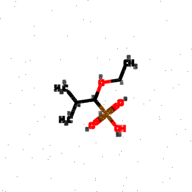 CCOC(C(C)C)S(=O)(=O)O